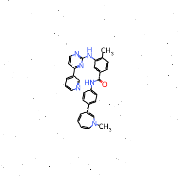 Cc1ccc(C(=O)Nc2ccc(C3=CN(C)C=CC=C3)cc2)cc1Nc1nccc(-c2cccnc2)n1